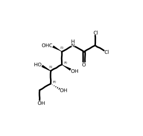 O=C[C@@H](NC(=O)C(Cl)Cl)[C@@H](O)[C@H](O)[C@H](O)CO